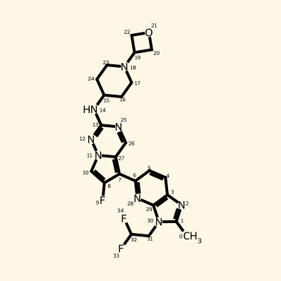 Cc1nc2ccc(-c3c(F)cn4nc(NC5CCN(C6COC6)CC5)ncc34)nc2n1CC(F)F